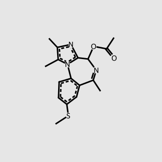 CSc1ccc2c(c1)C(C)=NC(OC(C)=O)c1nc(C)c(C)n1-2